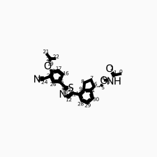 CC(=O)NOC[C@H]1CCc2c(-c3cnc(-c4ccc(OC(C)C)c(C#N)c4)s3)cccc21